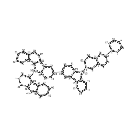 c1ccc(-c2ccc3cc(-n4c5ccccc5c5cc(-c6ccc7c(c6)c6ccc8ccccc8c6n7-c6cccc7sc8ccccc8c67)ccc54)ccc3c2)cc1